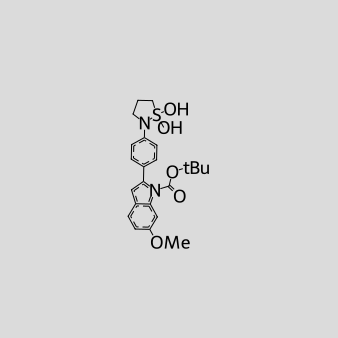 COc1ccc2cc(-c3ccc(N4CCCS4(O)O)cc3)n(C(=O)OC(C)(C)C)c2c1